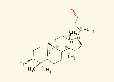 C[C@H](CC=O)[C@H]1CC[C@@]2(C)C3CCC4C(C)(C)[C@@H](C)CC[C@@]45C[C@@]35CC[C@]12C